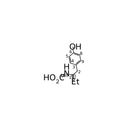 CC[C@H](Cc1ccc(O)cc1)NC(=O)O